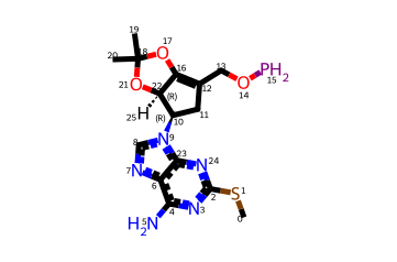 CSc1nc(N)c2ncn([C@@H]3CC(COP)=C4OC(C)(C)O[C@@H]43)c2n1